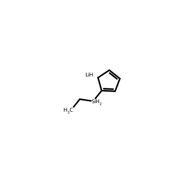 CC[SiH2]C1=CC=CC1.[LiH]